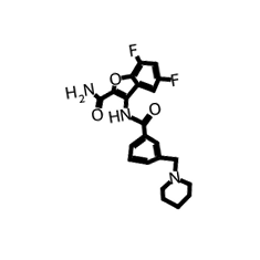 NC(=O)c1oc2c(F)cc(F)cc2c1NC(=O)c1cccc(CN2CCCCC2)c1